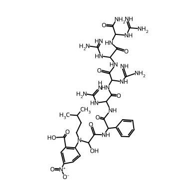 CC(C)CCN(c1ccc([N+](=O)[O-])cc1C(=O)O)C(O)C(=O)NC(C(=O)NC(NC(=N)N)C(=O)NC(NC(=N)N)C(=O)NC(NC(=N)N)C(=O)NC(NC(=N)N)C(N)=O)c1ccccc1